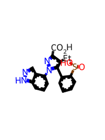 CCc1c(C(=O)O)nn(-c2cccc3[nH]ncc23)c1-c1ccccc1S(=O)O